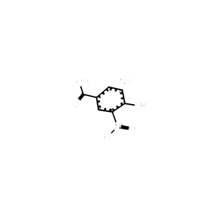 O=C(O)c1ccc(S)c([N+](=O)[O-])c1.[Na+]